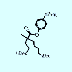 CCCCCCCCCCCCCCC(C)(CCCCCCCCCCCC)C(=O)Oc1ccc(CCCCC)cc1